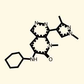 Cc1nn(C)cc1-c1nncc2cc(NC3CCCCC3)c(=O)n(C)c12